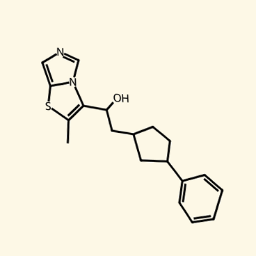 Cc1sc2cncn2c1C(O)CC1CCC(c2ccccc2)C1